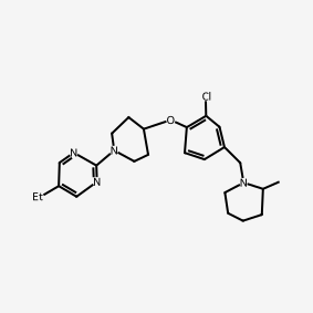 CCc1cnc(N2CCC(Oc3ccc(CN4CCCCC4C)cc3Cl)CC2)nc1